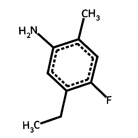 CCc1cc(N)c(C)cc1F